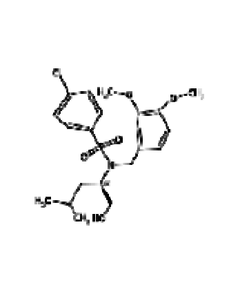 COc1ccc(CN([C@@H](CO)CC(C)C)S(=O)(=O)c2ccc(Cl)cc2)cc1OC